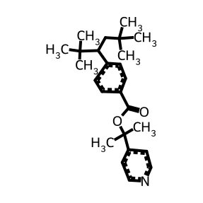 CC(C)(C)CC(c1ccc(C(=O)OC(C)(C)c2ccncc2)cc1)C(C)(C)C